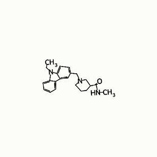 CCn1c2ccccc2c2cc(CN3CCCC(C(=O)NC)C3)ccc21